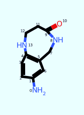 Nc1ccc2c(c1)CNC(=O)CCN2